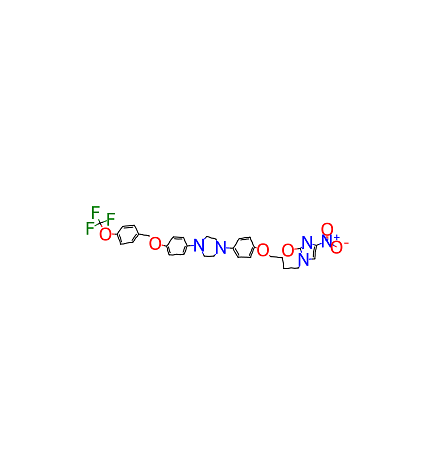 O=[N+]([O-])c1cn2c(n1)OC(COc1ccc(N3CCN(c4ccc(OCc5ccc(OC(F)(F)F)cc5)cc4)CC3)cc1)CC2